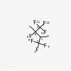 CC(C(F)(F)F)C(C)(F)C(F)(F)F